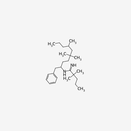 CCCC(C)CC(C)(C)CCC(Cc1ccccc1)NC(=N)C(C)(C)CCC